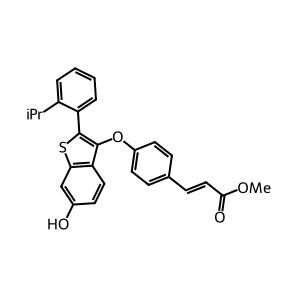 COC(=O)C=Cc1ccc(Oc2c(-c3ccccc3C(C)C)sc3cc(O)ccc23)cc1